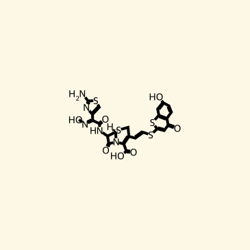 Nc1nc(C(=NO)C(=O)NC2C(=O)N3C(C(=O)O)=C(C=CSc4cc(=O)c5ccc(O)cc5s4)CS[C@@H]23)cs1